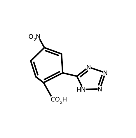 O=C(O)c1ccc([N+](=O)[O-])cc1-c1nnn[nH]1